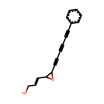 OC/C=C/C1OC1C#CC#CC#Cc1ccccc1